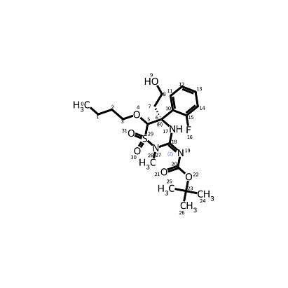 CCCCOC1[C@@](CCO)(c2ccccc2F)N/C(=N/C(=O)OC(C)(C)C)N(C)S1(=O)=O